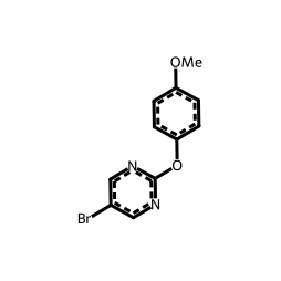 COc1ccc(Oc2ncc(Br)cn2)cc1